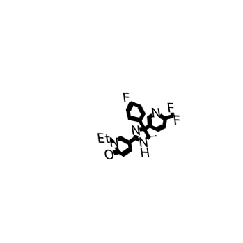 CCn1cc(C2=NC(c3ccc(F)cc3)(c3ccc(C(F)F)nc3)[C@H](C)N2)ccc1=O